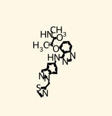 CNC(=O)[C@@H](C)Oc1cccc2ncnc(Nc3ccc4c(cnn4Cc4nccs4)c3)c12